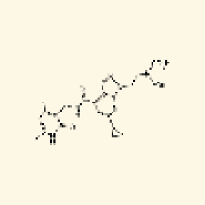 Cc1cc(C)c(CNC(=O)c2cc(C3CC3)nc3c2cnn3CCN(C(=O)O)C(C)(C)C)c(=O)[nH]1